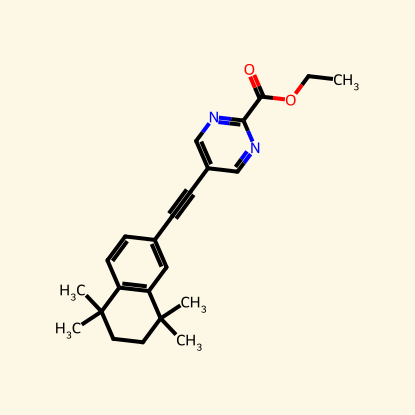 CCOC(=O)c1ncc(C#Cc2ccc3c(c2)C(C)(C)CCC3(C)C)cn1